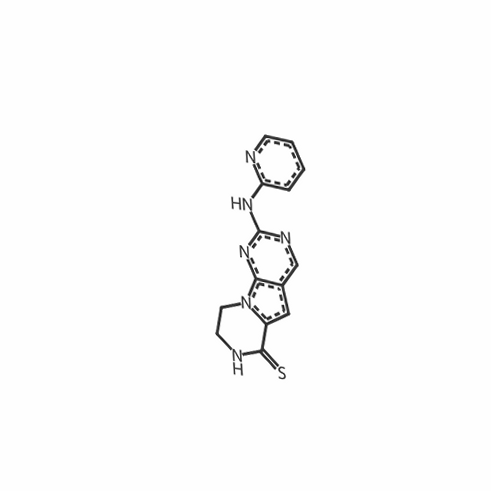 S=C1NCCn2c1cc1cnc(Nc3ccccn3)nc12